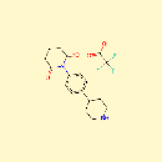 O=C(O)C(F)(F)F.O=C1CCCC(=O)N1c1ccc(C2CCNCC2)cc1